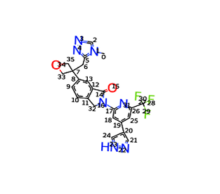 Cn1cnnc1CC1(c2ccc3c(c2)C(=O)N(c2cc(-c4cn[nH]c4)cc(C(F)(F)F)n2)C3)COC1